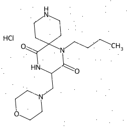 CCCCN1C(=O)C(CN2CCOCC2)NC(=O)C12CCNCC2.Cl